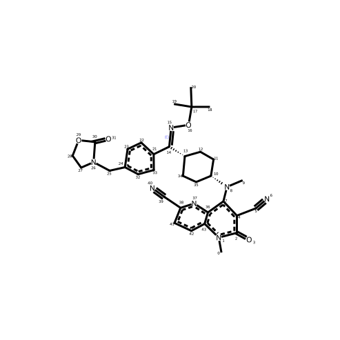 Cn1c(=O)c(C#N)c(N(C)[C@H]2CC[C@@H](/C(=N\OC(C)(C)C)c3ccc(CN4CCOC4=O)cc3)CC2)c2nc(C#N)ccc21